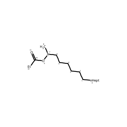 CCCCCCCCCCCCCN(C)OC(=O)CC